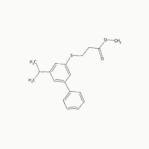 COC(=O)CCSc1cc(-c2ccccc2)cc(C(C)C)c1